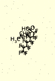 CNC.O=S(=O)(O)C(F)C(F)C(F)C(F)C(F)C(F)C(F)C(F)F